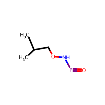 CC(C)CONP=O